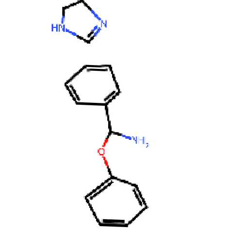 C1=NCCN1.NC(Oc1ccccc1)c1ccccc1